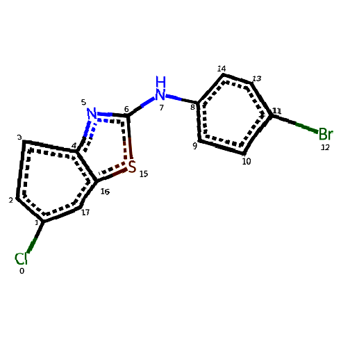 Clc1ccc2nc(Nc3ccc(Br)cc3)sc2c1